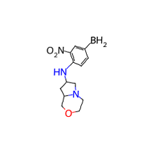 Bc1ccc(NC2CC3COCCN3C2)c([N+](=O)[O-])c1